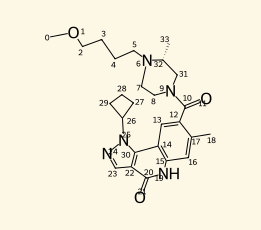 COCCCCN1CCN(C(=O)c2cc3c(cc2C)[nH]c(=O)c2cnn(C4CCC4)c23)C[C@H]1C